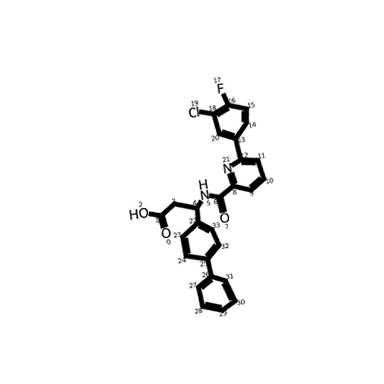 O=C(O)CC(NC(=O)c1cccc(-c2ccc(F)c(Cl)c2)n1)c1ccc(-c2ccccc2)cc1